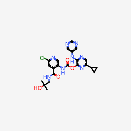 CC(C)(O)CNC(=O)c1cc(Cl)ncc1NC(=O)Oc1nc(C2CC2)cnc1Nc1cncnc1